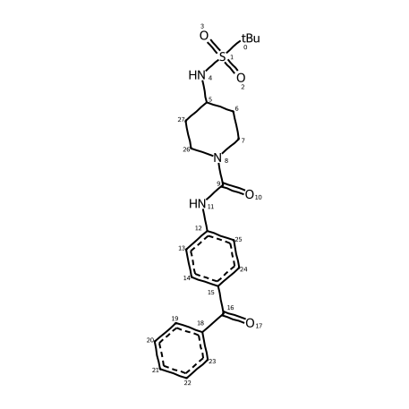 CC(C)(C)S(=O)(=O)NC1CCN(C(=O)Nc2ccc(C(=O)c3ccccc3)cc2)CC1